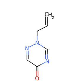 C=CCn1[c]nc(=O)cn1